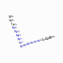 [N-3].[N-3].[N-3].[N-3].[N-3].[N-3].[N-3].[N-3].[N-3].[N-3].[N-3].[Ta+5].[Ta+5].[Ta+5].[W+6].[W+6].[W+6]